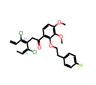 C=C/C(Cl)=C(CC(=O)c1ccc(OC)c(OC)c1OCCc1ccc(F)cc1)\C(Cl)=C/C